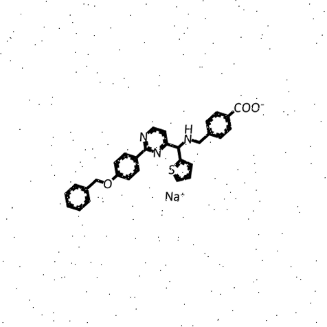 O=C([O-])c1ccc(CNC(c2ccnc(-c3ccc(OCc4ccccc4)cc3)n2)c2cccs2)cc1.[Na+]